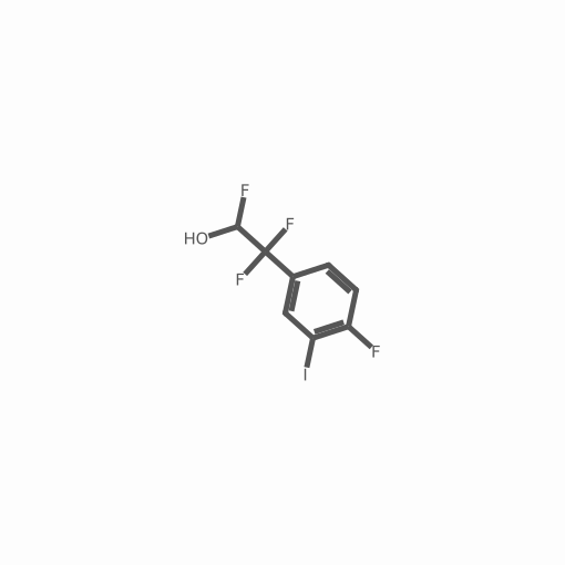 OC(F)C(F)(F)c1ccc(F)c(I)c1